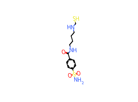 NS(=O)(=O)c1ccc(C(=O)NCCCCNCS)cc1